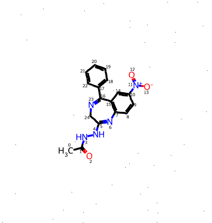 CC(=O)NNC1=Nc2ccc([N+](=O)[O-])cc2C(c2ccccc2)=NC1